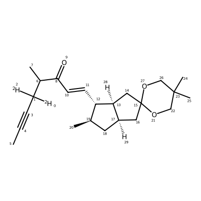 [2H]C([2H])(C#CC)C(C)C(=O)/C=C/[C@@H]1[C@H]2CC3(C[C@H]2C[C@H]1C)OCC(C)(C)CO3